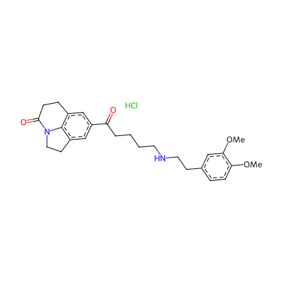 COc1ccc(CCNCCCCC(=O)c2cc3c4c(c2)CCN4C(=O)CC3)cc1OC.Cl